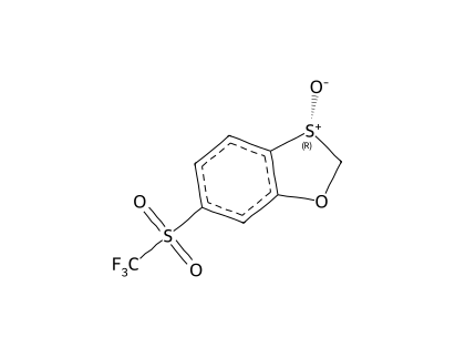 O=S(=O)(c1ccc2c(c1)OC[S@@+]2[O-])C(F)(F)F